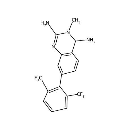 CN1C(N)=Nc2cc(-c3c(C(F)(F)F)cccc3C(F)(F)F)ccc2C1N